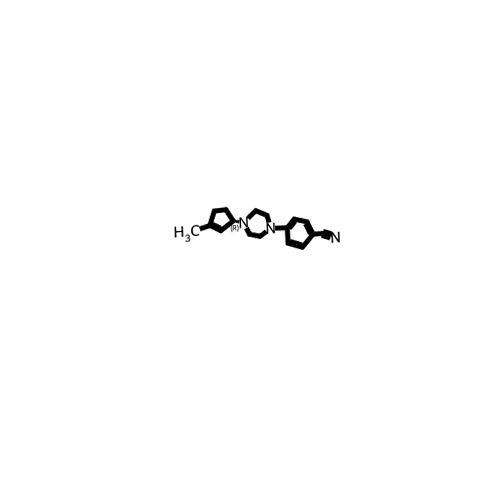 CC1=C[C@H](N2CCN(c3ccc(C#N)cc3)CC2)CC1